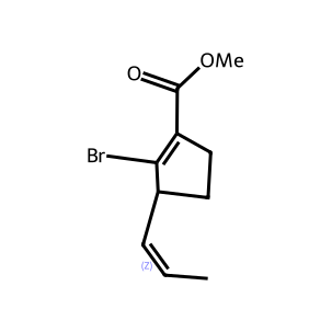 C/C=C\C1CCC(C(=O)OC)=C1Br